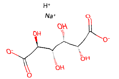 O=C([O-])[C@@H](O)[C@@H](O)[C@H](O)[C@@H](O)C(=O)[O-].[H+].[Na+]